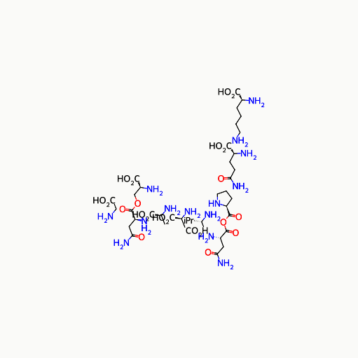 CC(C)[C@H](N)C(=O)O.C[C@H](N)C(=O)O.C[C@H](N)C(=O)O.NC(=O)CC[C@H](N)C(=O)O.NC(=O)C[C@H](N)C(=O)OC(=O)[C@@H]1CCCN1.NC(=O)C[C@H](N)C(=O)OC[C@H](N)C(=O)O.NCC(=O)O.NCCCC[C@H](N)C(=O)O